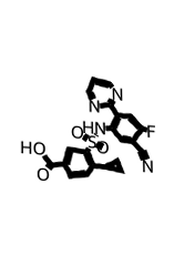 N#Cc1cc(NS(=O)(=O)c2cc(C(=O)O)ccc2C2CC2)c(-c2ncccn2)cc1F